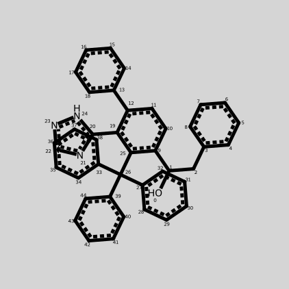 OC(Cc1ccccc1)c1ccc(-c2ccccc2)c(-c2nnn[nH]2)c1C(c1ccccc1)(c1ccccc1)c1ccccc1